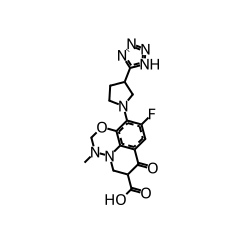 CN1COc2c(N3CCC(c4nnn[nH]4)C3)c(F)cc3c2N1CC(C(=O)O)C3=O